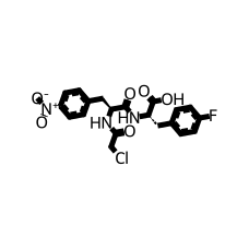 O=C(CCl)N[C@@H](Cc1ccc([N+](=O)[O-])cc1)C(=O)N[C@@H](Cc1ccc(F)cc1)C(=O)O